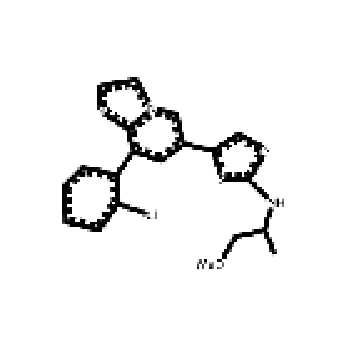 COCC(C)Nc1ncc(-c2cc(-c3ccccc3Cl)c3nccn3c2)s1